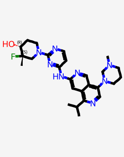 CC(C)c1ncc(N2CCCN(C)C2)c2cnc(Nc3ccnc(N4CC[C@@H](O)[C@@](C)(F)C4)n3)cc12